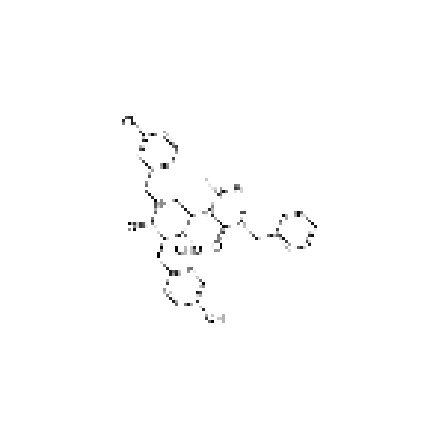 CCN(C)N(C(=O)NCc1ccccc1)C1CN(Cc2cccc(Cl)c2)C(=O)[C@H](Cc2ccc(O)cc2)N1C=O